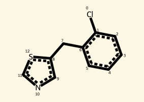 Clc1ccccc1Cc1cn[c]s1